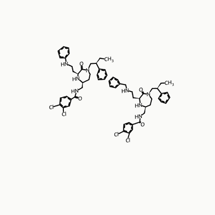 CC[C@H](CN1CC[C@@H](CNC(=O)c2ccc(Cl)c(Cl)c2)N[C@@H](CCNCc2ccccc2)C1=O)c1ccccc1.CC[C@H](CN1CC[C@@H](CNC(=O)c2ccc(Cl)c(Cl)c2)N[C@@H](CCNc2ccccc2)C1=O)c1ccccc1